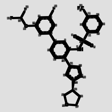 O=S(=O)(Nc1cc(-c2cc(F)cc(OC(F)F)c2)ccc1-c1cnn([C@H]2CCOC2)c1)c1cccc(C(F)(F)F)c1